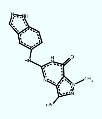 CCCc1nn(C)c2c(=O)[nH]c(Nc3ccc4[nH]ncc4c3)nc12